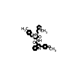 COc1ccc(-c2cc(C(=O)NC(CSCc3ccc(C)cc3)C(=O)NCCC3CCCN3C)c3ccccc3n2)cc1